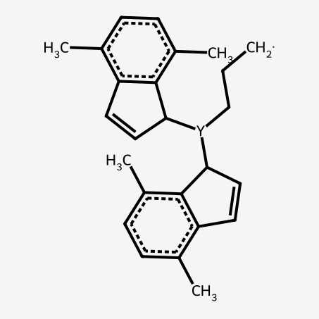 [CH2]C[CH2][Y]([CH]1C=Cc2c(C)ccc(C)c21)[CH]1C=Cc2c(C)ccc(C)c21